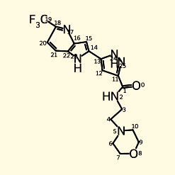 O=C(NCCN1CCOCC1)c1cc(-c2cc3nc(C(F)(F)F)ccc3[nH]2)[nH]n1